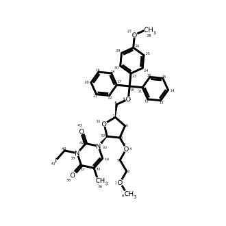 COCCOC1C[C@H](COC(c2ccccc2)(c2ccccc2)c2ccc(OC)cc2)O[C@@H]1n1cc(C)c(=O)n(CI)c1=O